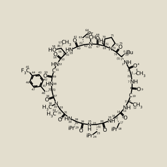 CC[C@H](C)[C@@H]1NC(=O)[C@H](C)NC(=O)C[C@@H](C)NC(=O)[C@H](CC(C)C)NC(=O)[C@H](CC(C)C)NC(=O)[C@H](C(C)C)NC(=O)[C@H](C)N(C)C(=O)[C@H](Cc2ccc(C(F)(F)F)cc2)NC(=O)CNC(=O)[C@H]([C@@H](C)O)NC(=O)[C@H](CC(C)C)N(C)C(=O)[C@@H]2CCCN2C1=O